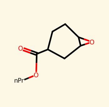 CCCOC(=O)C1CCC2OC2C1